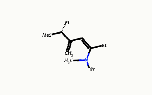 C=C(/C=C(/CC)N(C)C(C)C)[C@@H](CC)SC